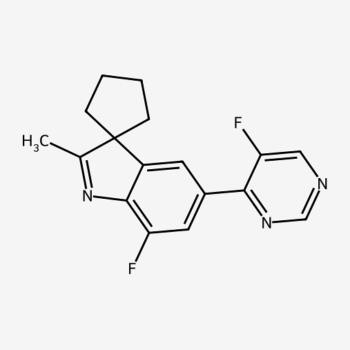 CC1=Nc2c(F)cc(-c3ncncc3F)cc2C12CCCC2